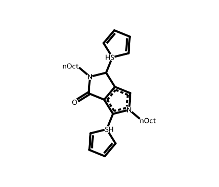 CCCCCCCCN1C(=O)c2c(cn(CCCCCCCC)c2[SH]2C=CC=C2)C1[SH]1C=CC=C1